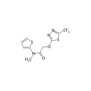 CN(C(=O)COc1nnc(C(F)(F)F)s1)c1cccs1